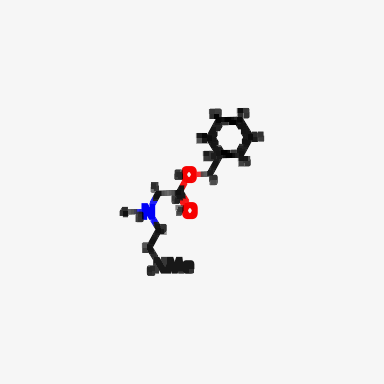 CNCCN(C)CC(=O)OCc1ccccc1